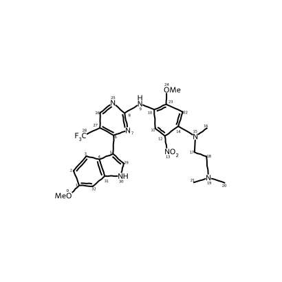 COc1ccc2c(-c3nc(Nc4cc([N+](=O)[O-])c(N(C)CCN(C)C)cc4OC)ncc3C(F)(F)F)c[nH]c2c1